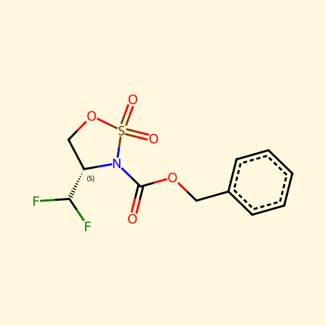 O=C(OCc1ccccc1)N1[C@H](C(F)F)COS1(=O)=O